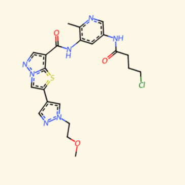 COCCn1cc(-c2cn3ncc(C(=O)Nc4cc(NC(=O)CCCCl)cnc4C)c3s2)cn1